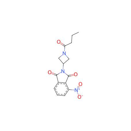 CCCC(=O)N1CC(N2C(=O)c3cccc([N+](=O)[O-])c3C2=O)C1